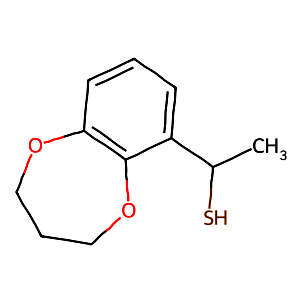 CC(S)c1cccc2c1OCCCO2